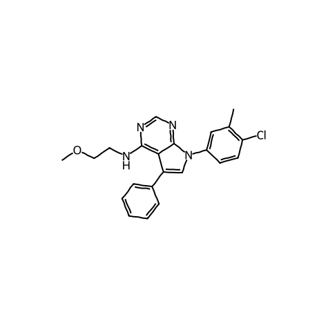 COCCNc1ncnc2c1c(-c1ccccc1)cn2-c1ccc(Cl)c(C)c1